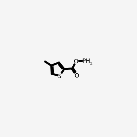 Cc1csc(C(=O)OP)c1